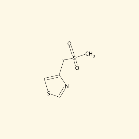 CS(=O)(=O)[CH]c1cscn1